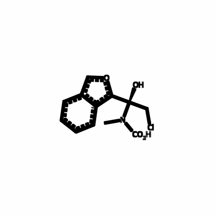 CN(C(=O)O)[C@@](O)(CCl)c1occ2ccccc12